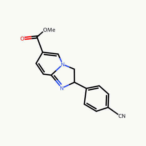 COC(=O)C1=CN2CC(c3ccc(C#N)cc3)N=C2C=C1